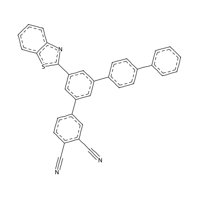 N#Cc1ccc(-c2cc(-c3ccc(-c4ccccc4)cc3)cc(-c3nc4ccccc4s3)c2)cc1C#N